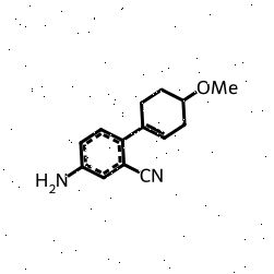 COC1CC=C(c2ccc(N)cc2C#N)CC1